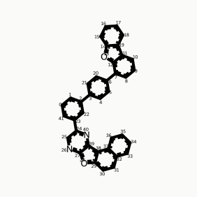 c1cc(-c2ccc(-c3cccc4c3oc3ccccc34)cc2)cc(-c2cnc3oc4ccc5ccccc5c4c3n2)c1